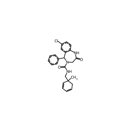 CC1(CNC(=O)N2CC(=O)Nc3ccc(Cl)cc3C2c2ccccc2)C=CC=CC1